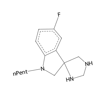 CCCCCN1CC2(CNCN2)c2cc(F)ccc21